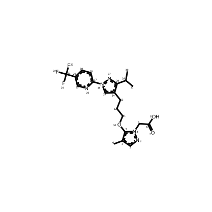 Cc1cnn(CC(=O)O)c1OCCCc1cn(-c2ccc(C(F)(F)F)cn2)nc1C(C)C